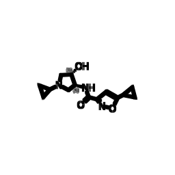 O=C(N[C@H]1CN(C2CC2)C[C@@H]1O)c1cc(C2CC2)on1